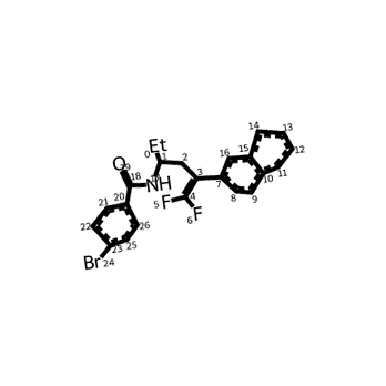 CCC(CC(=C(F)F)c1ccc2ccccc2c1)NC(=O)c1ccc(Br)cc1